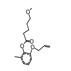 C=CCOc1cccc(C)c1OC(=O)CCCCOC